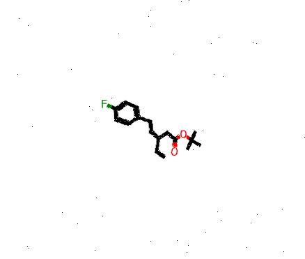 CCC(CCc1ccc(F)cc1)CC(=O)OC(C)(C)C